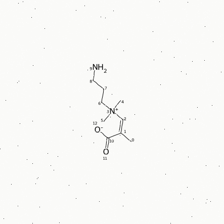 CC(=C[N+](C)(C)CCCN)C(=O)[O-]